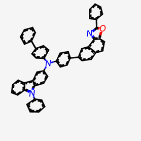 c1ccc(-c2ccc(N(c3ccc(-c4ccc5ccc6oc(-c7ccccc7)nc6c5c4)cc3)c3ccc4c(c3)c3ccccc3n4-c3ccccc3)cc2)cc1